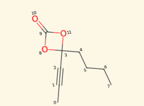 CC#CC1(CCCC)OC(=O)O1